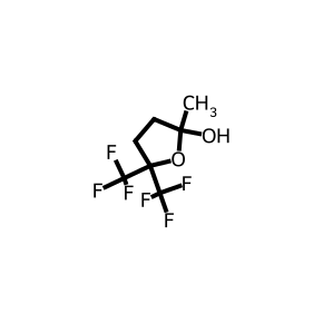 CC1(O)CCC(C(F)(F)F)(C(F)(F)F)O1